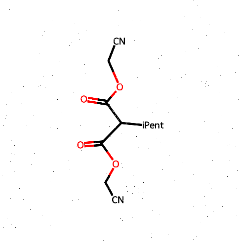 CCCC(C)C(C(=O)OCC#N)C(=O)OCC#N